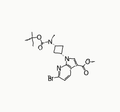 COC(=O)c1cn([C@H]2C[C@@H](N(C)C(=O)OC(C)(C)C)C2)c2nc(Br)ccc12